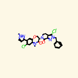 CN1C(=O)[C@@H](N2CCc3c(nn(Cc4ccccc4)c3Cl)C2=O)COc2cc(-c3ccn(C)n3)c(Cl)cc21